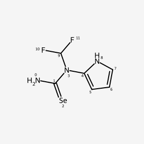 NC(=[Se])N(c1ccc[nH]1)C(F)F